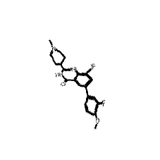 COc1ccc(-c2cc(F)c3nc(C4CCN(C)CC4)[nH]c(=O)c3c2)cc1F